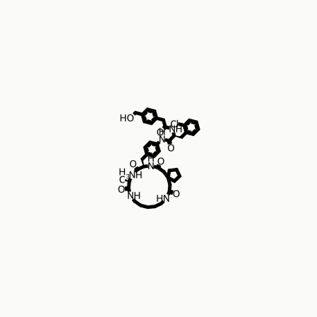 C[C@H]1NC(=O)[C@@H](Cc2ccc(NC(=O)[C@H](Cc3ccccc3Cl)NC(=O)Cc3ccc(CO)cc3)cc2)NC(=O)CC2(CCCC2)CC(=O)NCCCCCNC1=O